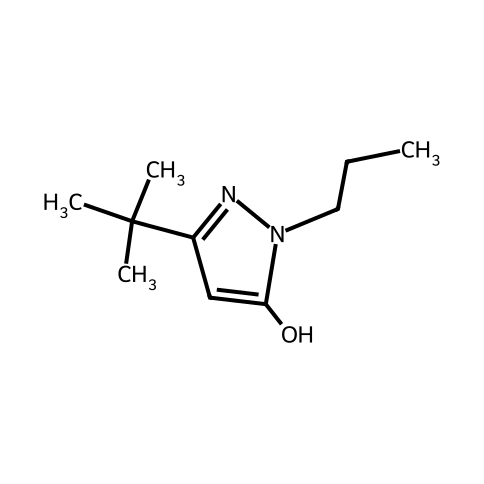 CCCn1nc(C(C)(C)C)cc1O